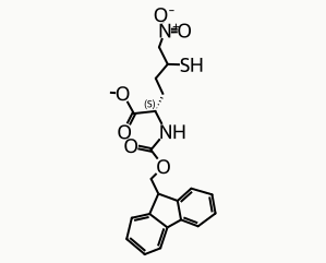 COC(=O)[C@H](CCC(S)C[N+](=O)[O-])NC(=O)OCC1c2ccccc2-c2ccccc21